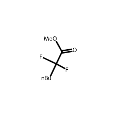 CCCCC(F)(F)C(=O)OC